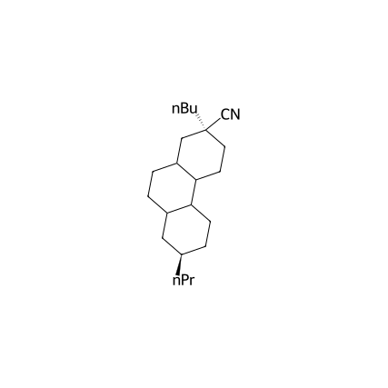 CCCC[C@]1(C#N)CCC2C(CCC3C[C@H](CCC)CCC32)C1